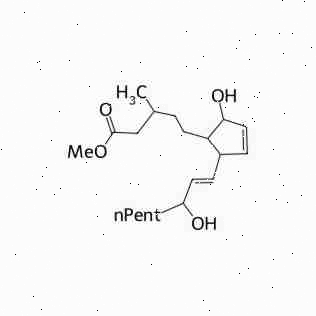 CCCCCC(O)C=CC1C=CC(O)C1CCC(C)CC(=O)OC